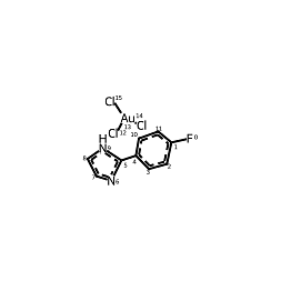 Fc1ccc(-c2ncc[nH]2)cc1.[Cl][Au]([Cl])[Cl]